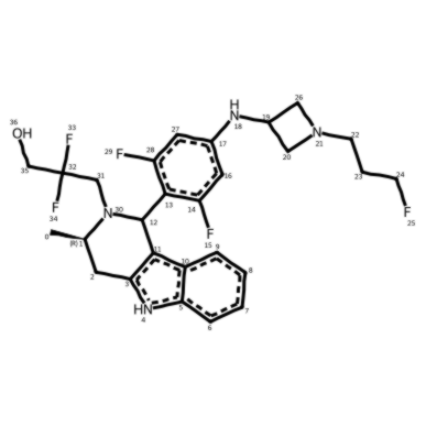 C[C@@H]1Cc2[nH]c3ccccc3c2C(c2c(F)cc(NC3CN(CCCF)C3)cc2F)N1CC(F)(F)CO